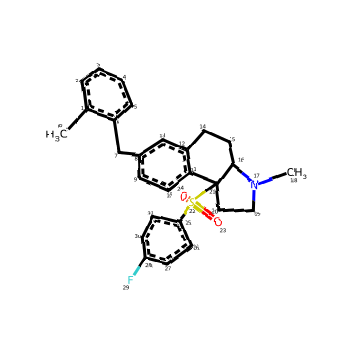 Cc1ccccc1Cc1ccc2c(c1)CCC1N(C)CCC21S(=O)(=O)c1ccc(F)cc1